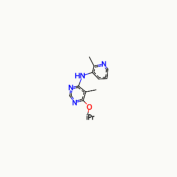 Cc1ncccc1Nc1ncnc(OC(C)C)c1C